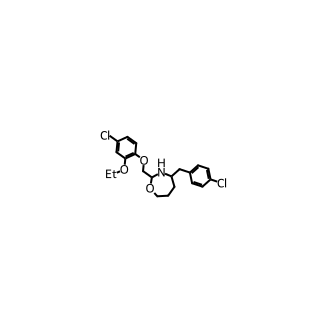 CCOc1cc(Cl)ccc1OCC1NC(Cc2ccc(Cl)cc2)CCCO1